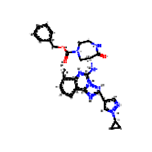 O=C1NCCN(C(=O)OCc2ccccc2)C[C@H]1Nc1nc2c(C(F)(F)F)cccc2c2nc(-c3cnn(C4CC4)c3)nn12